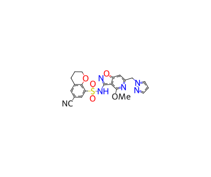 COc1nc(Cn2cccn2)cc2onc(NS(=O)(=O)c3cc(C#N)cc4c3OCCC4)c12